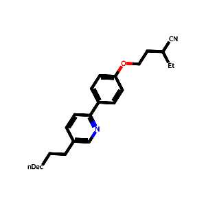 CCCCCCCCCCCCc1ccc(-c2ccc(OCCC(C#N)CC)cc2)nc1